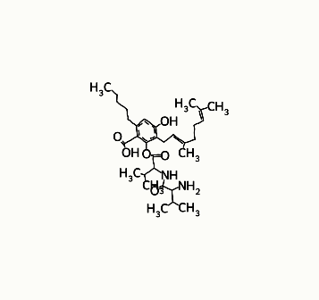 CCCCCc1cc(O)c(C/C=C(\C)CCC=C(C)C)c(OC(=O)C(NC(=O)C(N)C(C)C)C(C)C)c1C(=O)O